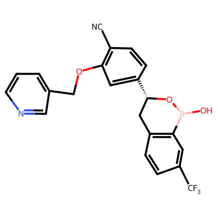 N#Cc1ccc([C@H]2Cc3ccc(C(F)(F)F)cc3B(O)O2)cc1OCc1cccnc1